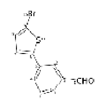 O=Cc1cccc(-c2ccc(Br)s2)c1